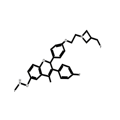 CC1=C(c2ccc(F)cc2)C(c2ccc(OCCN3CC(CF)C3)cc2)Oc2ccc(OPI)cc21